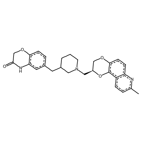 Cc1ccc2c3c(ccc2n1)OC[C@H](CN1CCCC(Cc2ccc4c(c2)NC(=O)CO4)C1)O3